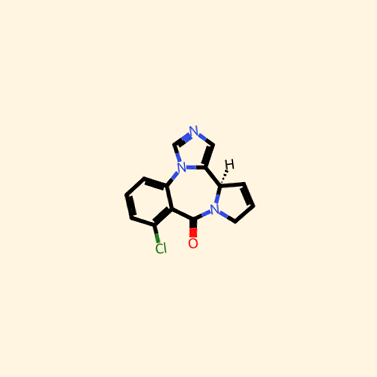 O=C1c2c(Cl)cccc2-n2cncc2[C@H]2C=CCN12